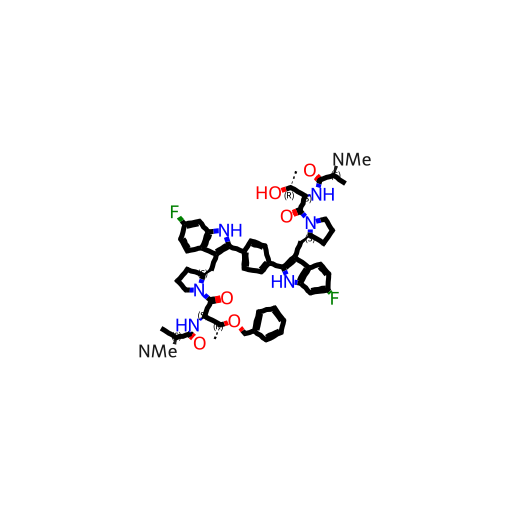 CN[C@@H](C)C(=O)N[C@H](C(=O)N1CCC[C@H]1Cc1c(-c2ccc(-c3[nH]c4cc(F)ccc4c3C[C@@H]3CCCN3C(=O)[C@@H](NC(=O)[C@H](C)NC)[C@@H](C)OCc3ccccc3)cc2)[nH]c2cc(F)ccc12)[C@@H](C)O